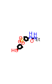 CCNC(=O)Nc1ccc(S(=O)(=O)Oc2ccc(O)cc2)cc1